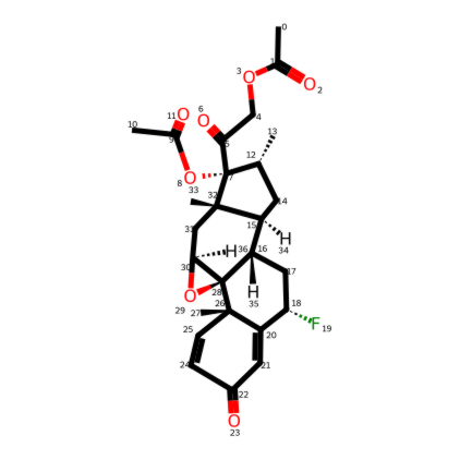 CC(=O)OCC(=O)[C@@]1(OC(C)=O)[C@H](C)C[C@H]2[C@@H]3C[C@H](F)C4=CC(=O)C=C[C@]4(C)[C@@]34O[C@H]4C[C@@]21C